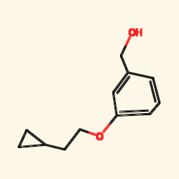 OCc1cccc(OCCC2CC2)c1